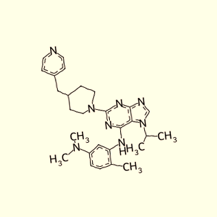 Cc1ccc(N(C)C)cc1Nc1nc(N2CCC(Cc3ccncc3)CC2)nc2ncn(C(C)C)c12